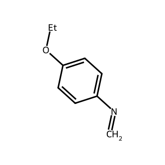 C=Nc1ccc(OCC)cc1